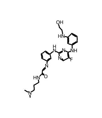 CN(C)CCCNC(=O)C=Nc1cccc(Nc2ncc(F)c(Nc3cccc(NCCO)c3)n2)c1